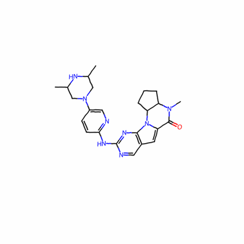 CC1CN(c2ccc(Nc3ncc4cc5n(c4n3)C3CCCC3N(C)C5=O)nc2)CC(C)N1